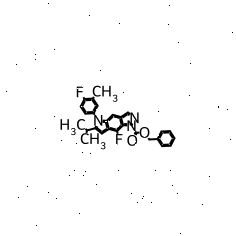 Cc1cc(-n2c(C(C)C)cc3c(F)c4c(cnn4C(=O)OCc4ccccc4)cc32)ccc1F